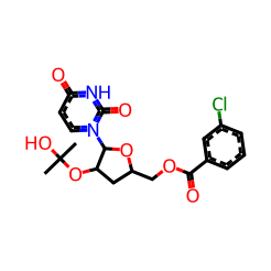 CC(C)(O)OC1CC(COC(=O)c2cccc(Cl)c2)OC1n1ccc(=O)[nH]c1=O